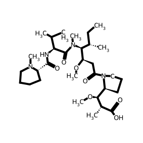 CC[C@H](C)[C@@H]([C@@H](CC(=O)N1CCC[C@H]1[C@H](OC)[C@@H](C)C(=O)O)OC)N(C)C(=O)[C@@H](NC(=O)[C@@H]1CCCCN1C)C(C)C